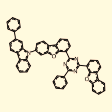 c1ccc(-c2ccc3c4ccccc4n(-c4ccc5c(c4)oc4c(-c6nc(-c7ccccc7)nc(-c7cccc8c7oc7ccccc78)n6)cccc45)c3c2)cc1